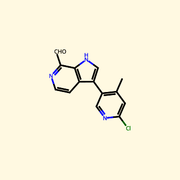 Cc1cc(Cl)ncc1-c1c[nH]c2c(C=O)nccc12